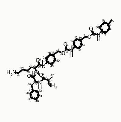 Cc1ccc(NC(=O)OCc2ccc(NC(=O)OCc3ccc(NC(=O)[C@H](CCCCN)NC(=O)[C@H](Cc4ccccc4)NC(=O)[C@@H](C)N)cc3)cc2)cc1